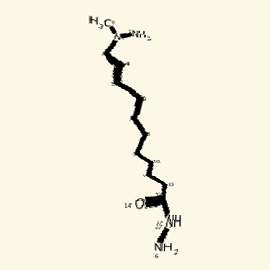 CN(N)CCCCCCCCCCC(=O)NN